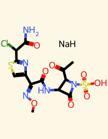 CO/N=C(\C(=O)NC1C(=O)N(S(=O)(=O)O)C1C(C)=O)c1csc(C(Cl)C(N)=O)n1.[NaH]